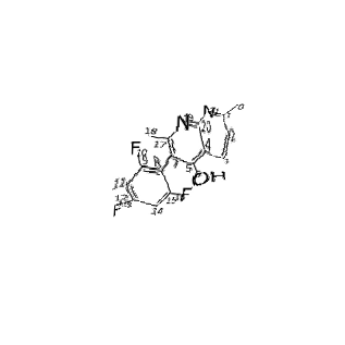 Cc1ccc2c(O)c(-c3c(F)cc(F)cc3F)c(C)nc2n1